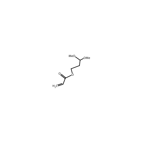 C=CC(=O)OCCC(OC)OC